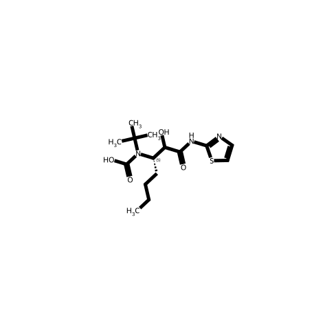 CCCC[C@@H](C(O)C(=O)Nc1nccs1)N(C(=O)O)C(C)(C)C